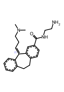 CN(C)CC/C=C1/c2ccccc2CCc2ccc(C(=O)NCCN)cc21